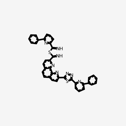 N=C(SC(=N)c1ccc2ccc3ccc(-c4nnc(-c5cccc(-c6ccccc6)n5)s4)nc3c2n1)c1cccc(-c2ccccc2)n1